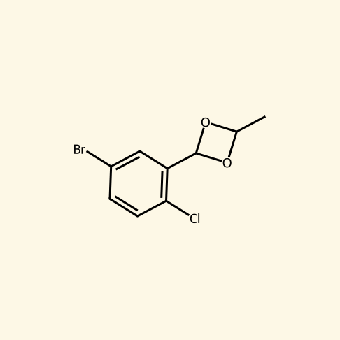 CC1OC(c2cc(Br)ccc2Cl)O1